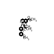 COC(=O)c1ccc2c(N(C[C@H]3CC[C@H](c4cccc(OC)c4)CC3)C(=O)CC(C)(C)C)nccc2c1